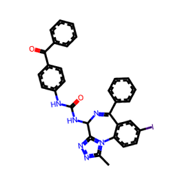 Cc1nnc2n1-c1ccc(I)cc1C(c1ccccc1)=NC2NC(=O)Nc1ccc(C(=O)c2ccccc2)cc1